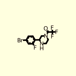 O=C(N1CCNC(c2ccc(Br)cc2F)C1)C(F)(F)F